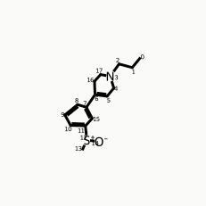 CCCN1CC=C(c2cccc([S+](C)[O-])c2)CC1